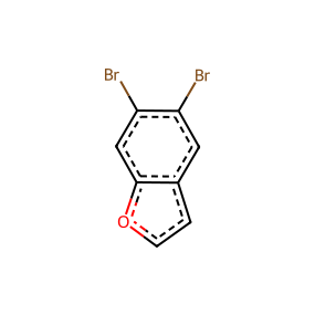 Brc1cc2ccoc2cc1Br